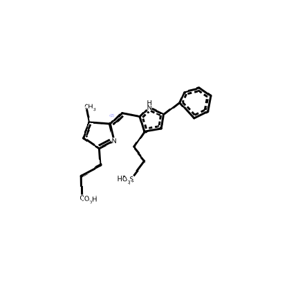 CC1=CC(CCC(=O)O)=N/C1=C\c1[nH]c(-c2ccccc2)cc1CCS(=O)(=O)O